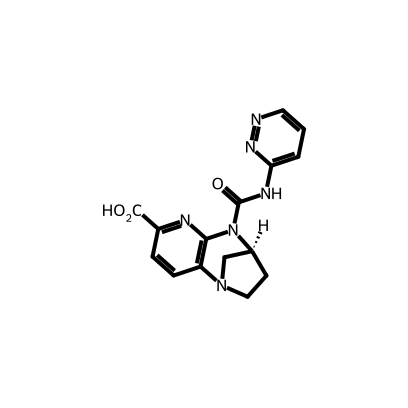 O=C(O)c1ccc2c(n1)N(C(=O)Nc1cccnn1)[C@H]1CCN2C1